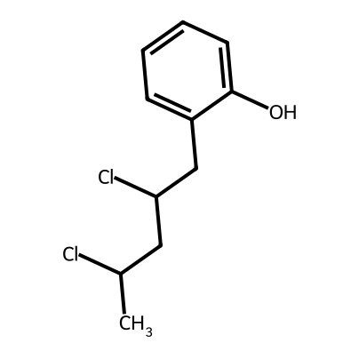 CC(Cl)CC(Cl)Cc1ccccc1O